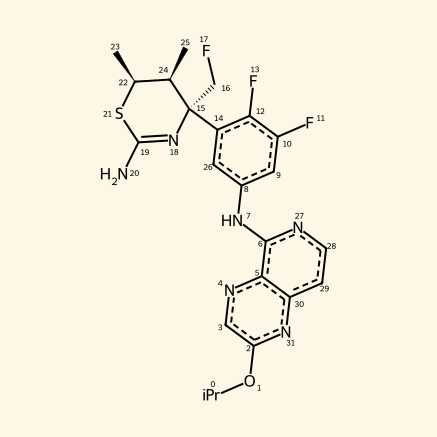 CC(C)Oc1cnc2c(Nc3cc(F)c(F)c([C@@]4(CF)N=C(N)S[C@@H](C)[C@H]4C)c3)nccc2n1